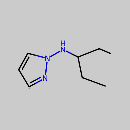 CCC(CC)Nn1cc[c]n1